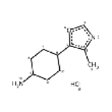 Cc1ncoc1C1CCC(N)CC1.Cl